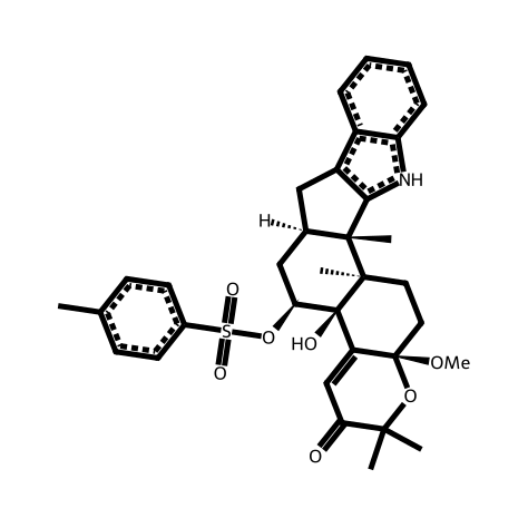 CO[C@]12CC[C@]3(C)[C@@]4(C)c5[nH]c6ccccc6c5C[C@@H]4C[C@H](OS(=O)(=O)c4ccc(C)cc4)[C@@]3(O)C1=CC(=O)C(C)(C)O2